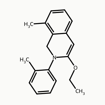 CCOC1=Cc2cccc(C)c2CN1c1ccccc1C